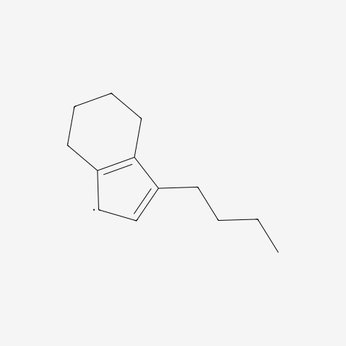 CCCCC1=C[CH]C2=C1CCCC2